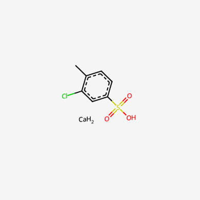 Cc1ccc(S(=O)(=O)O)cc1Cl.[CaH2]